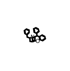 O=C1C2CCN(C(Cc3ccccc3)C2)C1C(c1ccccc1)c1ccccc1